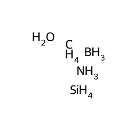 B.C.N.O.[SiH4]